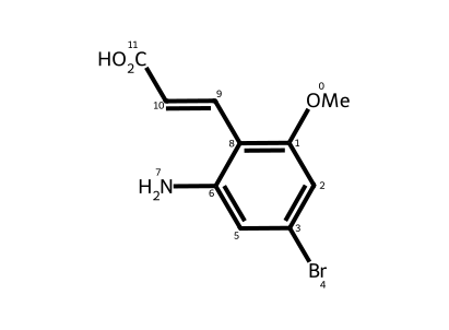 COc1cc(Br)cc(N)c1/C=C/C(=O)O